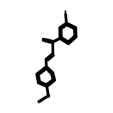 COc1ccc(C=CC(=O)c2cccc(I)c2)cc1